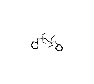 CC[Si](CC)(CC[Si](CC)(CC)Oc1ccccc1)Oc1ccccc1